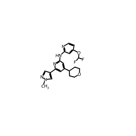 Cn1cc(-c2cc(C3CCOCC3)cc(Nc3cc(OC(F)F)ccn3)n2)cn1